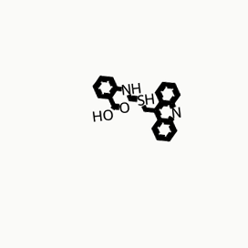 O=C(O)c1ccccc1NC=[SH]Cc1c2ccccc2nc2ccccc12